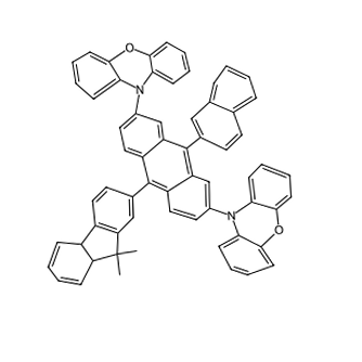 CC1(C)c2cc(-c3c4ccc(N5c6ccccc6Oc6ccccc65)cc4c(-c4ccc5ccccc5c4)c4cc(N5c6ccccc6Oc6ccccc65)ccc34)ccc2C2C=CC=CC21